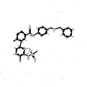 Cc1ccc(C(=O)Nc2ccc(COCc3ccccc3)cc2)cc1-c1cnc(C)c(NS(C)(=O)=O)n1